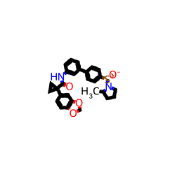 CC1CCCN1[S+]([O-])c1ccc(-c2cccc(NC(=O)C3(c4ccc5c(c4)OCO5)CC3)c2)cc1